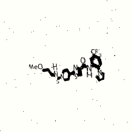 COCCCNC(=S)N1CCC(c2nc(C(=O)Nc3cc(C(F)(F)F)ccc3N3CCCC3)cs2)CC1